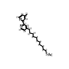 CC(=O)SCCCCCCCCCCCc1ccnc(-c2cc(C)ccn2)c1